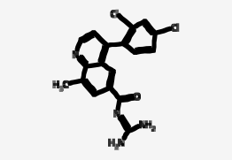 Cc1cc(C(=O)N=C(N)N)cc2c(-c3ccc(Cl)cc3Cl)ccnc12